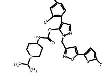 CC(C)N1CCC(NC(=O)Oc2c(-c3ccc(Cl)cc3Cl)cnn2Cc2cc(-c3ccc(Cl)s3)on2)CC1